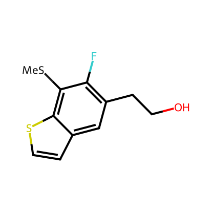 CSc1c(F)c(CCO)cc2ccsc12